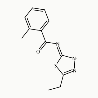 CCC1=N[N]C(=NC(=O)c2ccccc2C)S1